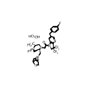 C[C@@H]1CN(CC(=O)N2CC(C)(C)c3ncc(Cc4ccc(F)cc4)cc32)[C@@H](CN2CC3CC2CO3)CN1.Cl.Cl